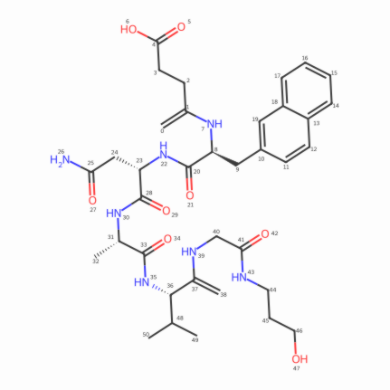 C=C(CCC(=O)O)N[C@@H](Cc1ccc2ccccc2c1)C(=O)N[C@@H](CC(N)=O)C(=O)N[C@@H](C)C(=O)N[C@H](C(=C)NCC(=O)NCCCO)C(C)C